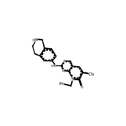 CC(C)Cn1c(=O)c(C#N)cc2cnc(Nc3ccc4c(c3)CCNC4)nc21